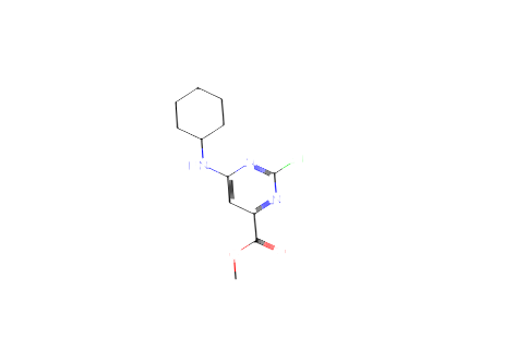 COC(=O)c1cc(NC2CCCCC2)nc(Cl)n1